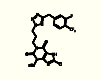 CCCCn1c(=O)n(CCCn2nnc(Cc3ccc(C(F)(F)F)c(F)c3)n2)c(=O)c2[nH]c(Cl)nc21